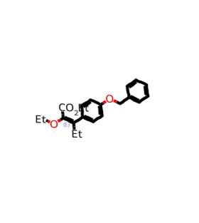 CCOC(=O)/C(OCC)=C(/CC)c1ccc(OCc2ccccc2)cc1